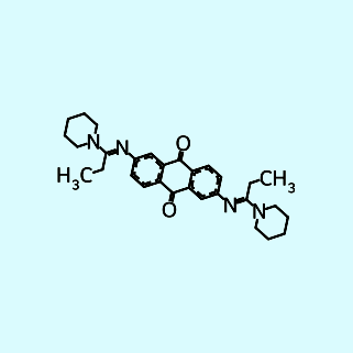 CC/C(=N\c1ccc2c(c1)C(=O)c1ccc(/N=C(\CC)N3CCCCC3)cc1C2=O)N1CCCCC1